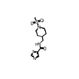 CS(=O)(=O)N1CCC(CNC(=O)c2cncs2)CC1